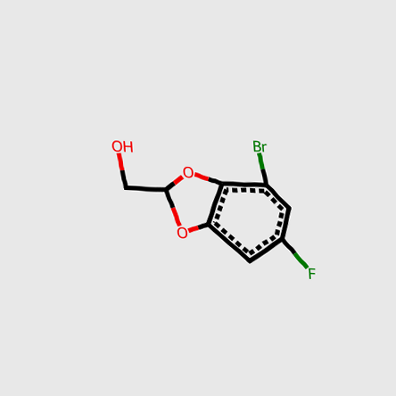 OCC1Oc2cc(F)cc(Br)c2O1